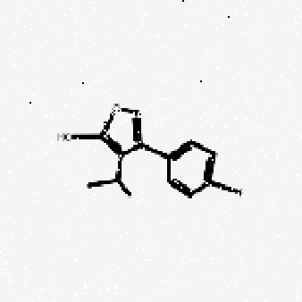 CC(C)c1c(-c2ccc(F)cc2)noc1O